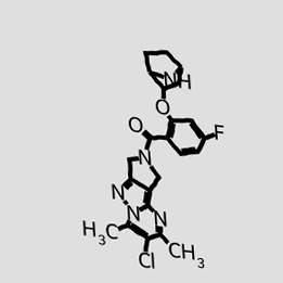 Cc1nc2c3c(nn2c(C)c1Cl)CN(C(=O)c1ccc(F)cc1OC1CC2CCC1N2)C3